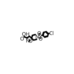 O=C(O)C1=NOC2(CCN(S(=O)(=O)c3ccc(Cl)cc3)CC2)C1